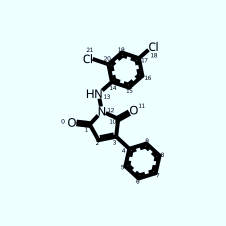 O=C1C=C(c2ccccc2)C(=O)N1Nc1ccc(Cl)cc1Cl